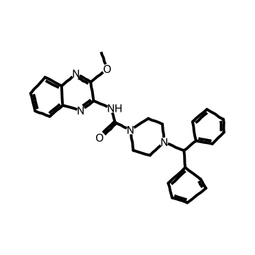 COc1nc2ccccc2nc1NC(=O)N1CCN(C(c2ccccc2)c2ccccc2)CC1